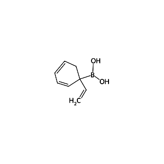 C=CC1(B(O)O)C=CC=CC1